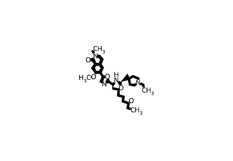 CCC(=O)CCCCC[C@H](NC(=O)[C@H]1CC12CCN(CC)CC2)c1ncc(-c2cc3ccn(CC)c(=O)c3cc2OC)o1